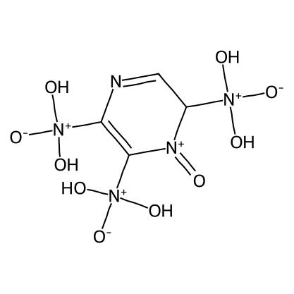 O=[N+]1C([N+]([O-])(O)O)=C([N+]([O-])(O)O)N=CC1[N+]([O-])(O)O